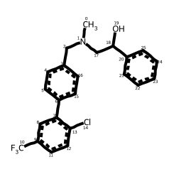 CN(Cc1ccc(-c2cc(C(F)(F)F)ccc2Cl)cc1)CC(O)c1ccccc1